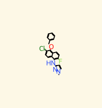 Cn1ccc(Nc2c(F)ccc3c(OCc4ccccc4)c(Cl)ccc23)n1